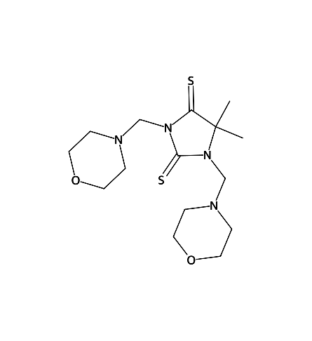 CC1(C)C(=S)N(CN2CCOCC2)C(=S)N1CN1CCOCC1